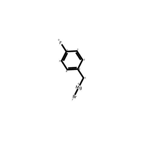 Fc1ccc([CH2][Mg][Br])cc1